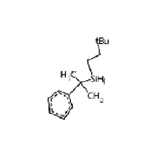 CC(C)(C)CC[SiH](I)C(C)(C)c1ccccc1